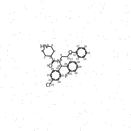 O=C(C1CCNCC1)N(CCOc1ccccc1)C(c1ccc(Cl)cc1)c1ccccc1F